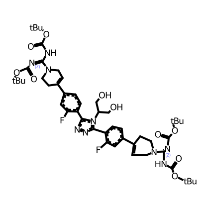 CC(C)(C)OC(=O)/N=C(/NC(=O)OC(C)(C)C)N1CC=C(c2ccc(-c3nnc(-c4ccc(C5=CCN(/C(=N\C(=O)OC(C)(C)C)NC(=O)OC(C)(C)C)CC5)cc4F)n3C(CO)CO)c(F)c2)CC1